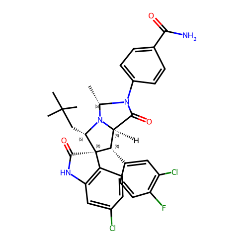 C[C@@H]1N(c2ccc(C(N)=O)cc2)C(=O)[C@H]2[C@H](c3ccc(F)c(Cl)c3)[C@]3(C(=O)Nc4cc(Cl)ccc43)[C@H](CC(C)(C)C)N12